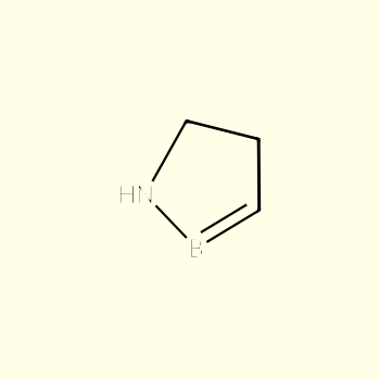 B1=CCCN1